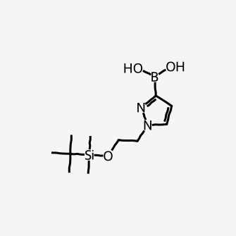 CC(C)(C)[Si](C)(C)OCCn1ccc(B(O)O)n1